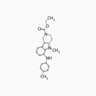 CCOC(=O)N1CCc2c(c3cccc(Nc4ccc(C)cc4)c3n2C)C1